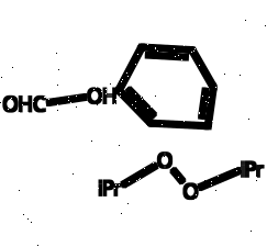 CC(C)OOC(C)C.O=CO.c1ccccc1